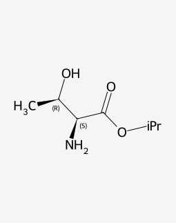 CC(C)OC(=O)[C@@H](N)[C@@H](C)O